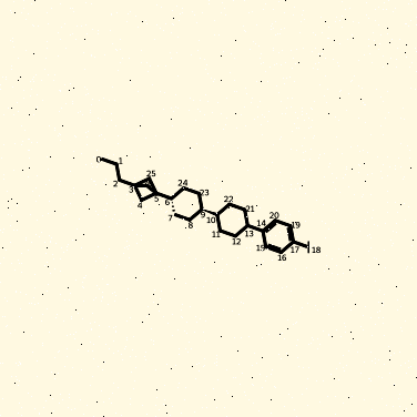 CCCC12CC([C@H]3CC[C@H](C4CCC(c5ccc(I)cc5)CC4)CC3)(C1)C2